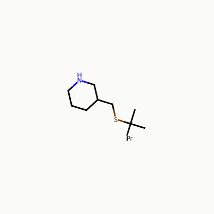 CC(C)C(C)(C)SCC1CCCNC1